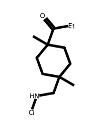 CCC(=O)C1(C)CCC(C)(CNCl)CC1